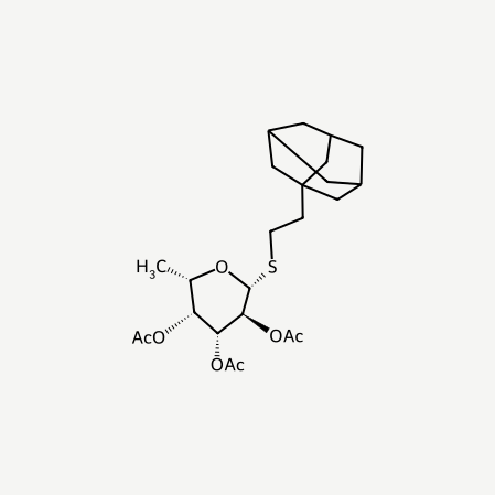 CC(=O)O[C@@H]1[C@H](OC(C)=O)[C@H](C)O[C@H](SCCC23CC4CC(CC(C4)C2)C3)[C@H]1OC(C)=O